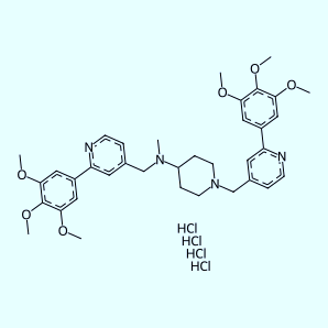 COc1cc(-c2cc(CN3CCC(N(C)Cc4ccnc(-c5cc(OC)c(OC)c(OC)c5)c4)CC3)ccn2)cc(OC)c1OC.Cl.Cl.Cl.Cl